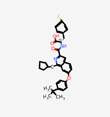 CC(C)(C)c1ccc(Oc2ccc3cc(C(=O)N[C@@H](Cc4ccc(F)cc4)C(=O)O)nc(CC4CCCC4)c3c2)cc1